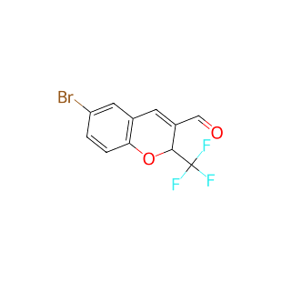 O=CC1=Cc2cc(Br)ccc2OC1C(F)(F)F